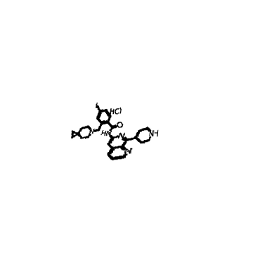 Cl.O=C(Nc1cc2cccnc2c(C2CCNCC2)n1)c1ccc(I)cc1CN1CCC2(CC1)CC2